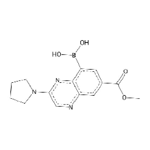 COC(=O)c1cc(B(O)O)c2nc(N3CCCC3)cnc2c1